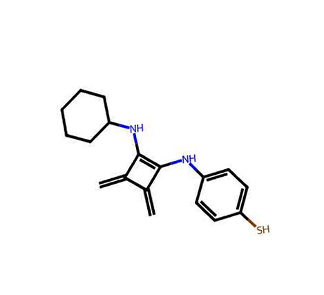 C=C1C(=C)C(NC2CCCCC2)=C1Nc1ccc(S)cc1